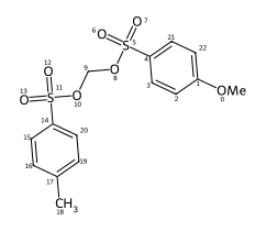 COc1ccc(S(=O)(=O)OCOS(=O)(=O)c2ccc(C)cc2)cc1